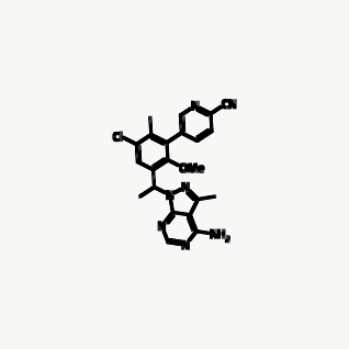 COc1c(C(C)n2nc(C)c3c(N)ncnc32)cc(Cl)c(C)c1-c1ccc(C#N)nc1